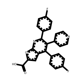 O=C(O)c1cc2c(-c3ccc(F)cc3)c(-c3ccncc3)c(-c3ccc(F)cc3)nc2o1